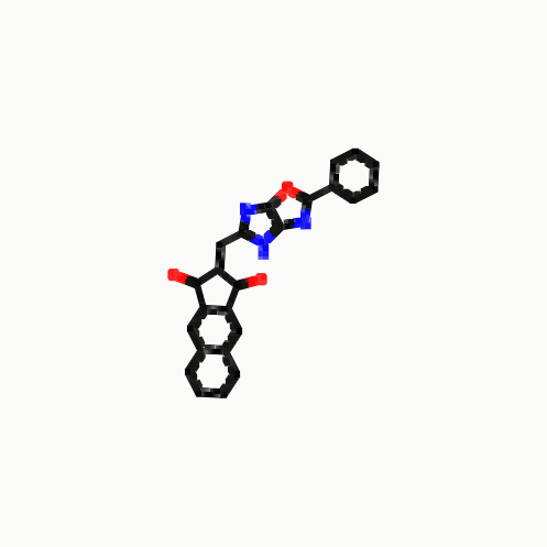 O=C1C(=Cc2nc3oc(-c4ccccc4)nc3[nH]2)C(=O)c2cc3ccccc3cc21